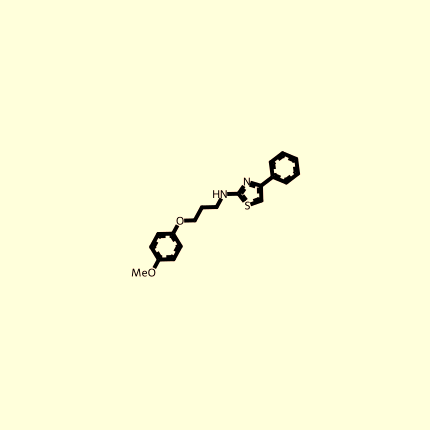 COc1ccc(OCCCNc2nc(-c3ccccc3)cs2)cc1